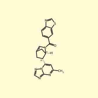 Cc1cc([C@@H]2CC3=CN(C(=O)c4ccc5ncsc5c4)[C@@H]2C3)n2ncnc2n1